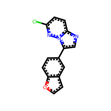 Clc1ccc2ncc(-c3ccc4occc4c3)n2n1